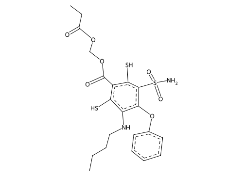 CCCCNc1c(S)c(C(=O)OCOC(=O)CC)c(S)c(S(N)(=O)=O)c1Oc1ccccc1